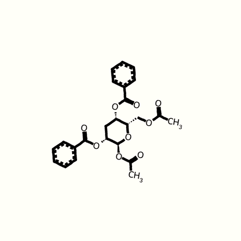 CC(=O)OC[C@@H]1O[C@@H](OC(C)=O)[C@H](OC(=O)c2ccccc2)C[C@@H]1OC(=O)c1ccccc1